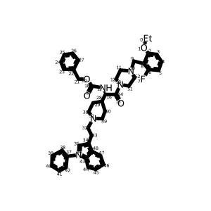 CCOc1cccc(F)c1CN1CCN(C(=O)[C@H](NC(=O)OCc2ccccc2)C2CCN(CCc3cn(-c4ccccc4)c4ccccc34)CC2)CC1